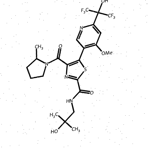 COc1cc(C(O)(C(F)(F)F)C(F)(F)F)ncc1-c1sc(C(=O)NCC(C)(C)O)nc1C(=O)N1CCCC1C